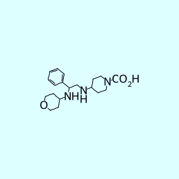 O=C(O)N1CCC(NCC(NC2CCOCC2)c2ccccc2)CC1